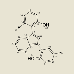 Cc1ccc(O)c(-c2nc(-c3c(O)cccc3F)n3ccccc23)c1